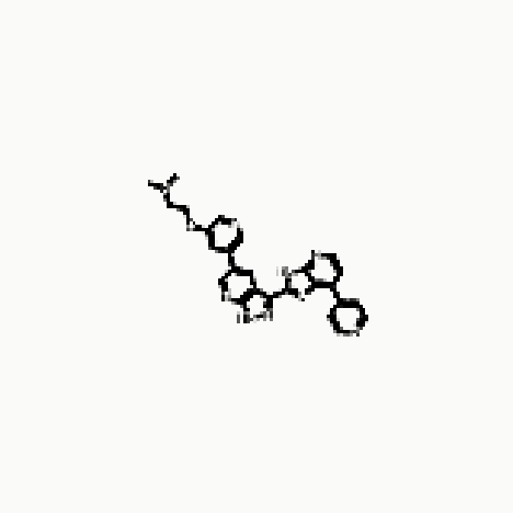 CN(C)CCOc1cncc(-c2cnc3[nH]nc(-c4nc5c(-c6ccncc6)ccnc5[nH]4)c3c2)c1